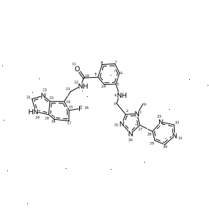 Cn1c(CNc2cccc(C(=O)NCc3c(F)ccc4[nH]cnc34)c2)nnc1-c1ccncn1